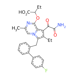 CCc1c(C(=O)C(N)=O)c2c(OC(CC)C(=O)O)nc(C)cn2c1Cc1ccccc1-c1ccc(F)cc1